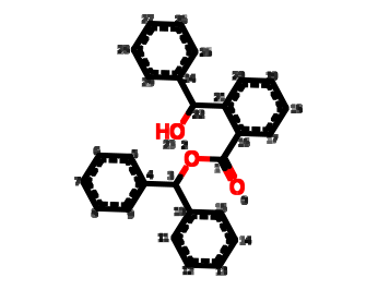 O=C(OC(c1ccccc1)c1ccccc1)c1ccccc1C(O)c1ccccc1